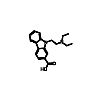 CCN(CC)CCn1c2ccccc2c2ccc(C(=O)O)cc21